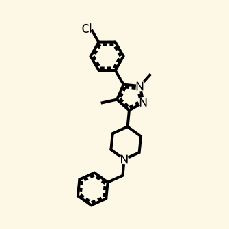 Cc1c(C2CCN(Cc3ccccc3)CC2)nn(C)c1-c1ccc(Cl)cc1